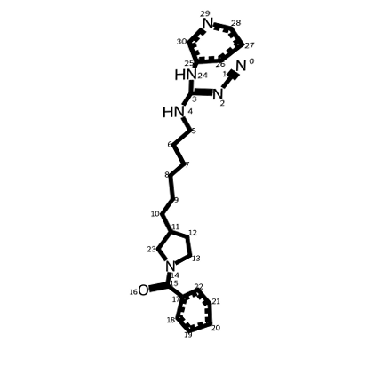 N#CN=C(NCCCCCCC1CCN(C(=O)c2ccccc2)C1)Nc1cccnc1